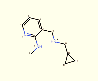 CNc1ncccc1CNCC1CC1